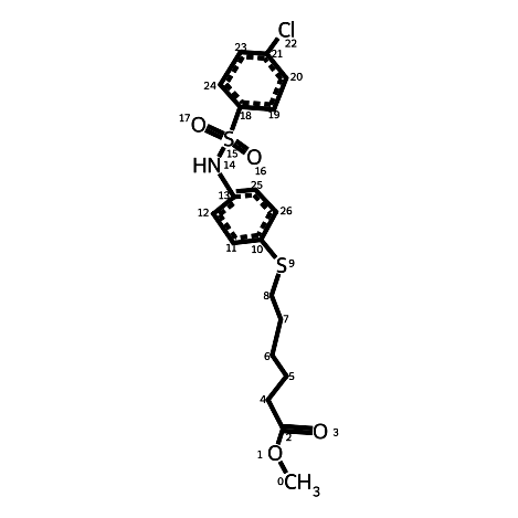 COC(=O)CCCCCSc1ccc(NS(=O)(=O)c2ccc(Cl)cc2)cc1